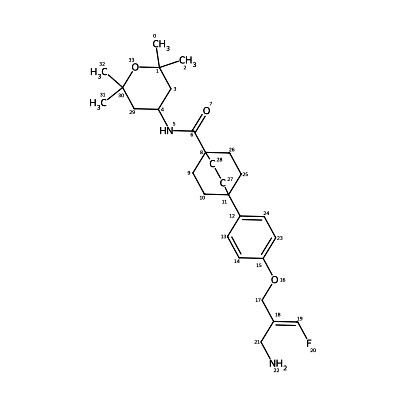 CC1(C)CC(NC(=O)C23CCC(c4ccc(OCC(=CF)CN)cc4)(CC2)CC3)CC(C)(C)O1